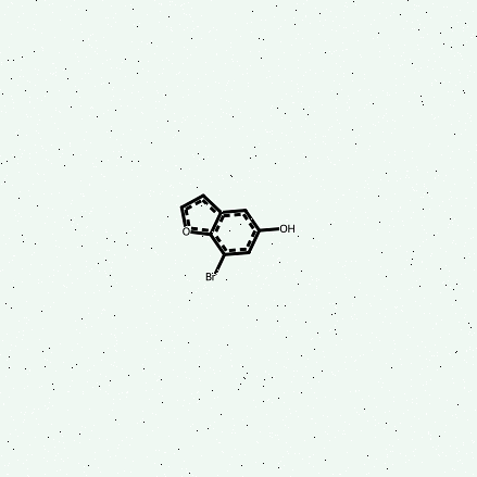 Oc1cc(Br)c2occc2c1